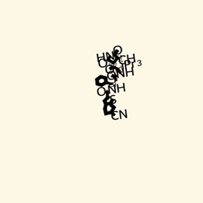 CC(C)[C@H](NC(=O)C[C@H](NC(=O)c1cc2ccc(C#N)cc2s1)c1ccccc1)C(=O)[C@@H]1C(=O)NC(=O)[C@H]1C